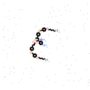 Nc1ccc(C(COC(=O)/C=C/c2ccc(OC(F)(F)c3ccc(OCCCCCC(F)(F)F)cc3)cc2)C/C(=C\C(=O)O)c2ccc(OC(F)(F)c3ccc(OCCCCCC(F)(F)F)cc3)cc2)c(N)c1